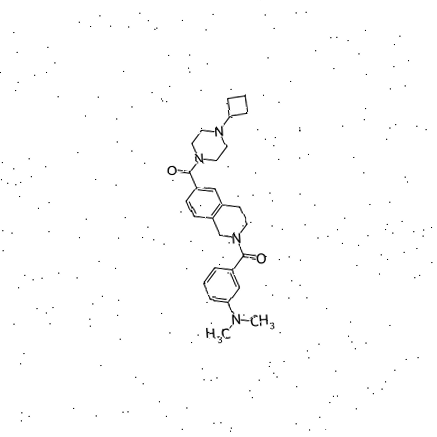 CN(C)c1cccc(C(=O)N2CCc3cc(C(=O)N4CCN(C5CCC5)CC4)ccc3C2)c1